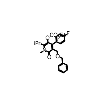 CCOC(=O)Oc1c(-c2ccc(F)cc2)c(COCc2ccccc2)c(=O)n(C)c1C(C)C